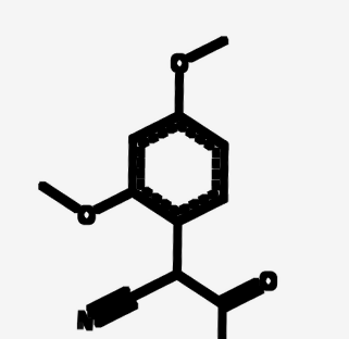 COc1ccc(C(C#N)C(C)=O)c(OC)c1